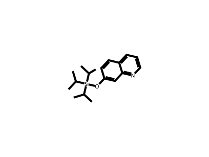 CC(C)[Si](Oc1ccc2cccnc2c1)(C(C)C)C(C)C